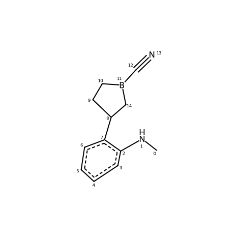 CNc1ccccc1C1CCB(C#N)C1